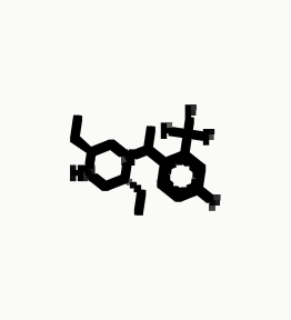 CC[C@H]1CN(C(C)c2ccc(F)cc2C(F)(F)F)[C@H](CC)CN1